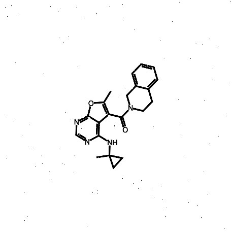 Cc1oc2ncnc(NC3(C)CC3)c2c1C(=O)N1CCc2ccccc2C1